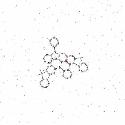 CC1(C)c2ccccc2-c2cc(N(c3ccccc3-c3cccc4c3-c3ccccc3C4(C)C)c3cccc4c3c3ccccc3n4-c3ccccc3)ccc21